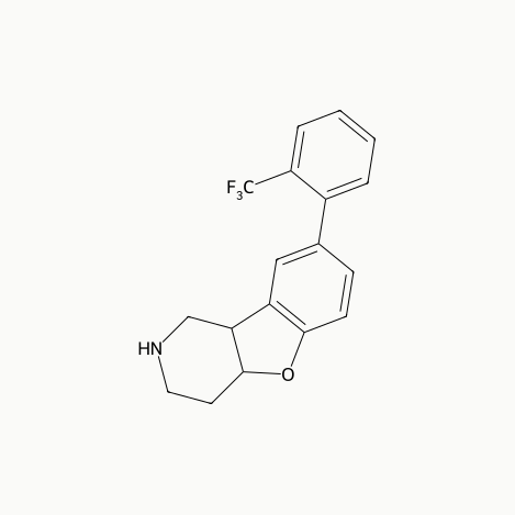 FC(F)(F)c1ccccc1-c1ccc2c(c1)C1CNCCC1O2